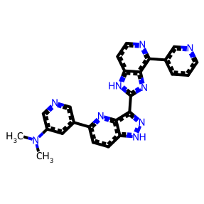 CN(C)c1cncc(-c2ccc3[nH]nc(-c4nc5c(-c6cccnc6)nccc5[nH]4)c3n2)c1